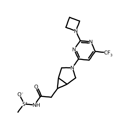 C[S+]([O-])NC(=O)CC1C2CN(c3cc(C(F)(F)F)nc(N4CCC4)n3)CC12